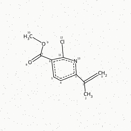 C=C(C)c1ccc(C(=O)OC)c(Cl)n1